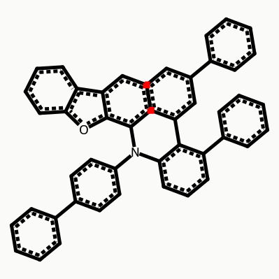 c1ccc(-c2ccc(N(c3cccc(-c4ccccc4)c3-c3cccc(-c4ccccc4)c3)c3cccc4c3oc3ccccc34)cc2)cc1